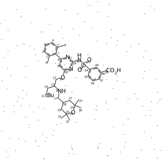 Cc1cccc(C)c1-c1cc(OCC(CC(C)(C)C)NCC2CC(C)(C)OC(C)(C)C2)nc(NS(=O)(=O)c2cccc(C(=O)O)c2)n1